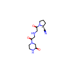 N#C[C@@H]1CCCN1C(=O)CNCC(=O)N1CCNC(=O)C1